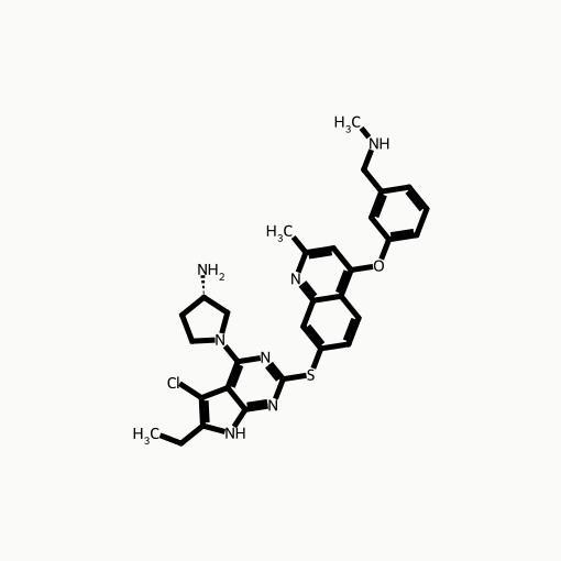 CCc1[nH]c2nc(Sc3ccc4c(Oc5cccc(CNC)c5)cc(C)nc4c3)nc(N3CC[C@H](N)C3)c2c1Cl